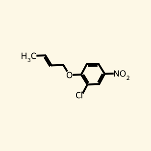 C/C=C/COc1ccc([N+](=O)[O-])cc1Cl